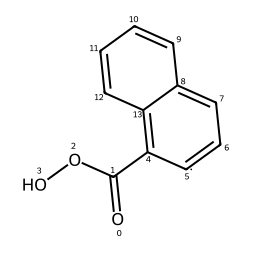 O=C(OO)c1[c]ccc2ccccc12